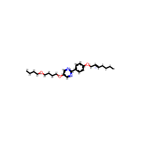 CCCC/C=C/COc1ccc(-c2ncc(OCCCCOCCCC)cn2)cc1